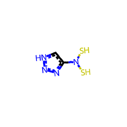 SN(S)c1c[nH]nn1